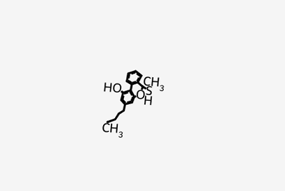 CCCCCc1cc(O)c2c(c1)OC(C)(S)c1ccccc1-2